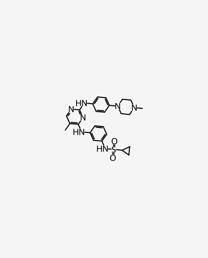 Cc1cnc(Nc2ccc(N3CCN(C)CC3)cc2)nc1Nc1cccc(NS(=O)(=O)C2CC2)c1